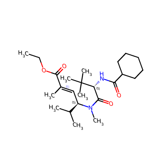 CCOC(=O)/C(C)=C/[C@H](C(C)C)N(C)C(=O)[C@@H](NC(=O)C1CCCCC1)C(C)(C)C